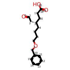 O=CC[C@@H](CCCCOCc1ccccc1)CCC(=O)O